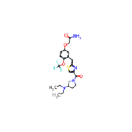 CCN(CC)C1CCN(C(=O)c2csc(Cc3cc(OCC(N)=O)ccc3OC(F)(F)F)n2)C1